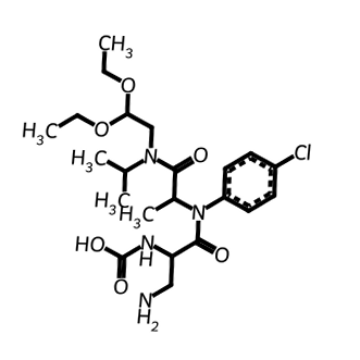 CCOC(CN(C(=O)C(C)N(C(=O)C(CN)NC(=O)O)c1ccc(Cl)cc1)C(C)C)OCC